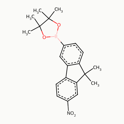 CC1(C)c2ccc(B3OC(C)(C)C(C)(C)O3)cc2-c2ccc([N+](=O)[O-])cc21